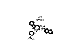 N=C(N)N1CCC[C@H](CNC(=O)[C@@H](Cc2c[nH]c3ccccc23)NS(=O)(=O)c2ccc3ccccc3c2)C1.O=S(O)O